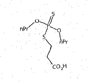 CCCOP(=S)(OCCC)SCCC(=O)O